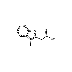 Cc1c(CC(=O)O)oc2ccccc12